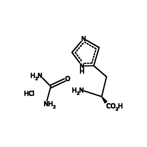 Cl.NC(N)=O.N[C@@H](Cc1cnc[nH]1)C(=O)O